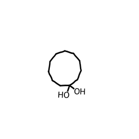 OC1(O)CCCCCCCCCC1